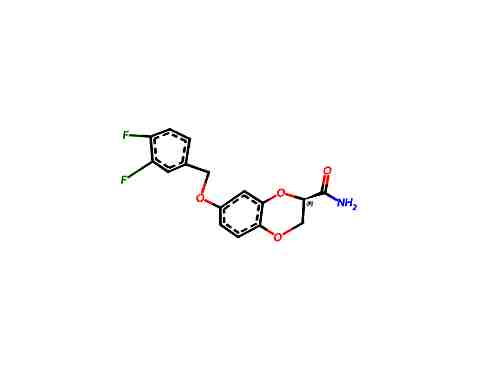 NC(=O)[C@H]1COc2ccc(OCc3ccc(F)c(F)c3)cc2O1